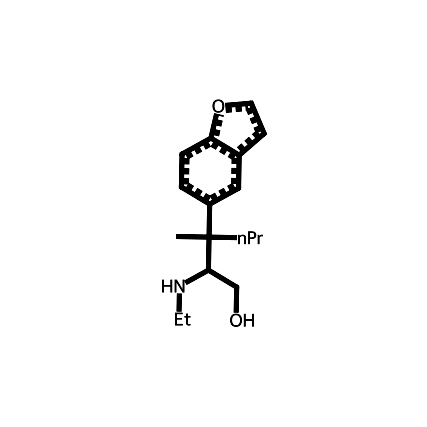 CCCC(C)(c1ccc2occc2c1)C(CO)NCC